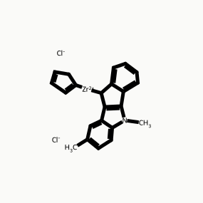 Cc1ccc2c(c1)c1c(n2C)-c2ccccc2[CH]1[Zr+2][C]1=CC=CC1.[Cl-].[Cl-]